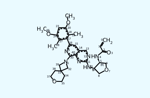 C=CC(=O)N[C@H]1COC[C@H]1Nc1ncc2cc(-c3c(C)c(OC)cc(OC)c3C)nc(N3CC4(CCOCC4)C3)c2n1